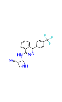 N#CC1CNCC1Nc1nnc(-c2ccc(C(F)(F)F)cc2)c2ccccc12